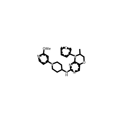 COc1cc(N2CCC(Nc3ncc4c(n3)N(c3ccccc3)C(C)CO4)CC2)ccn1